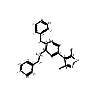 Cc1noc(C)c1-c1cnc(Cc2ccccc2)c(NCc2ccccc2)c1